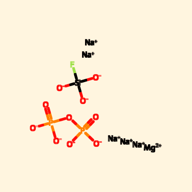 O=P([O-])([O-])OP(=O)([O-])[O-].[Mg+2].[Na+].[Na+].[Na+].[Na+].[Na+].[O-][Si]([O-])([O-])F